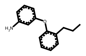 CCCc1ccccc1Oc1cccc(N)c1